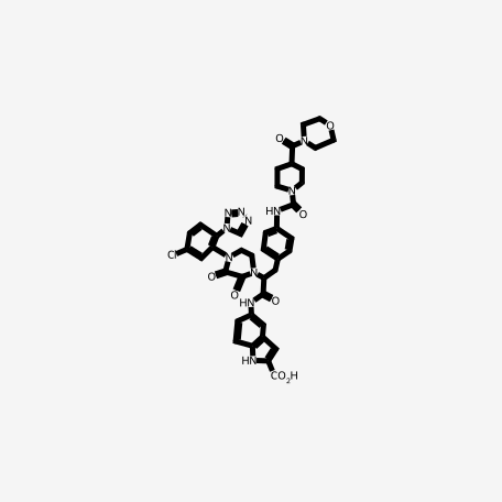 O=C(O)c1cc2cc(NC(=O)C(Cc3ccc(NC(=O)N4CCC(C(=O)N5CCOCC5)CC4)cc3)N3CCN(c4cc(Cl)ccc4-n4cnnn4)C(=O)C3=O)ccc2[nH]1